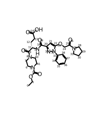 CCOC(=O)N1CCN(C(=O)[C@H](CCC(=O)O)NC(=O)c2cc(OCC(=O)N3CCCC3)n(-c3ccccc3)n2)CC1